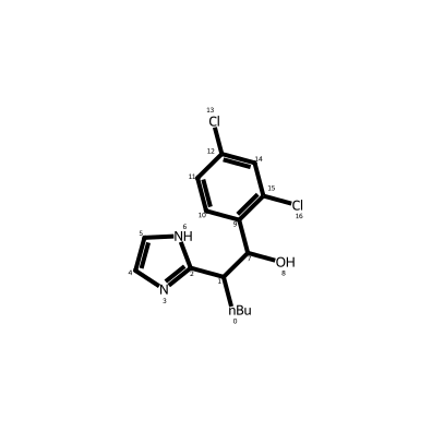 CCCCC(c1ncc[nH]1)C(O)c1ccc(Cl)cc1Cl